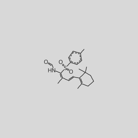 CC(/C=C/C1=C(C)CCCC1(C)C)=C(NC=O)S(=O)(=O)c1ccc(C)cc1